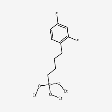 CCO[Si](CCCCc1ccc(F)cc1F)(OCC)OCC